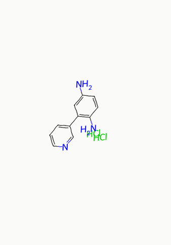 Cl.Cl.Nc1ccc(N)c(-c2cccnc2)c1